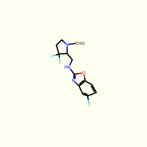 O=CN1CCC(F)(F)C1CNc1nc2cc(F)ccc2o1